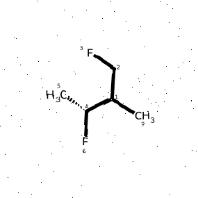 CC(CF)[C@@H](C)F